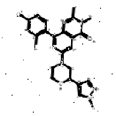 Cc1nc2c(-c3ccc(Cl)cc3F)nc(N3CCOC(c4cnn(C)c4)C3)cc2c(=O)n1C